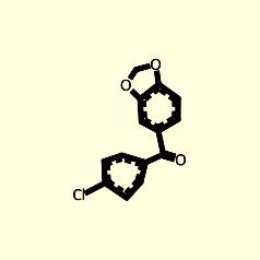 O=C(c1ccc(Cl)cc1)c1ccc2c(c1)OCO2